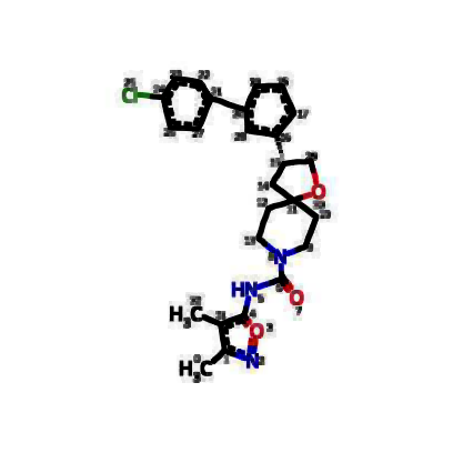 Cc1noc(NC(=O)N2CCC3(CC2)C[C@H](c2cccc(-c4ccc(Cl)cc4)c2)CO3)c1C